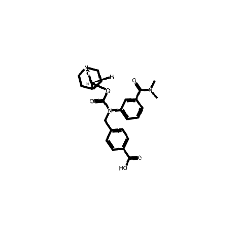 CN(C)C(=O)c1cccc(N(Cc2ccc(C(=O)O)cc2)C(=O)O[C@H]2CN3CCC2CC3)c1